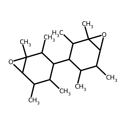 CC1C(C)C2OC2(C)C(C)C1C1C(C)C(C)C2OC2(C)C1C